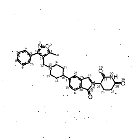 Cc1onc(-c2ccccc2)c1CN1CCC(c2ccc3c(c2)CN(C2CCC(=O)NC2=O)C3=O)CC1